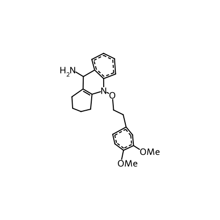 COc1ccc(CCON2C3=C(CCCC3)C(N)c3ccccc32)cc1OC